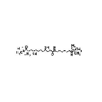 CC(C)(C)NCCCCCCNC(=O)CCC(S)CCCCC(S)CCC(=O)C(C)(C)C